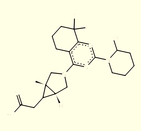 CC1CCCCN1c1nc(N2C[C@@H]3C(CC(=O)O)[C@@H]3C2)c2c(n1)C(F)(F)CCC2